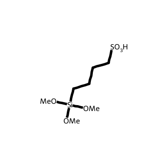 CO[Si](CCCCS(=O)(=O)O)(OC)OC